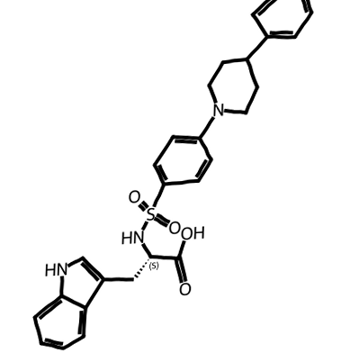 O=C(O)[C@H](Cc1c[nH]c2ccccc12)NS(=O)(=O)c1ccc(N2CCC(c3ccccc3)CC2)cc1